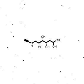 C#CNC[C@@H](O)[C@H](O)[C@H](O)CC(O)O